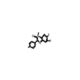 Cc1ccc(-c2nc3cc(F)c(F)cc3n(C)c2=O)cc1